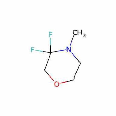 CN1CCOCC1(F)F